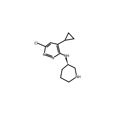 Clc1cc(C2CC2)c(N[C@@H]2CCCNC2)nn1